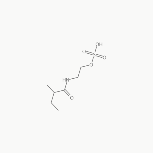 CCC(C)C(=O)NCCOS(=O)(=O)O